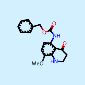 COc1ccc(NC(=O)OCc2ccccc2)c2c1NCCC2=O